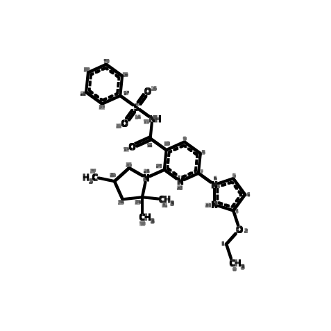 CCOc1ccn(-c2ccc(C(=O)NS(=O)(=O)c3ccccc3)c(N3CC(C)CC3(C)C)n2)n1